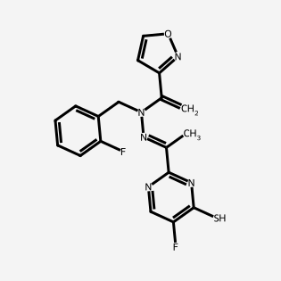 C=C(c1ccon1)N(Cc1ccccc1F)/N=C(\C)c1ncc(F)c(S)n1